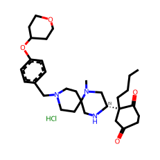 CCCCC1([C@H]2CN(C)C3(CCN(Cc4ccc(OC5CCOCC5)cc4)CC3)CN2)CC(=O)CCC1=O.Cl